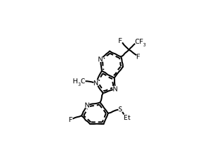 CCSc1ccc(F)nc1-c1nc2cc(C(F)(F)C(F)(F)F)cnc2n1C